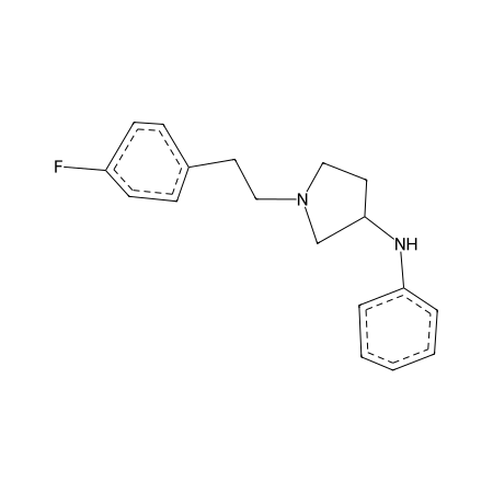 Fc1ccc(CCN2CCC(Nc3ccccc3)C2)cc1